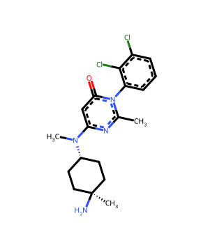 Cc1nc(N(C)[C@H]2CC[C@](C)(N)CC2)cc(=O)n1-c1cccc(Cl)c1Cl